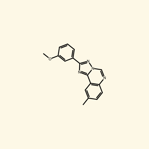 COc1cccc(-c2nc3c4cc(C)ccc4ncn3n2)c1